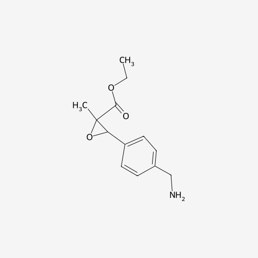 CCOC(=O)C1(C)OC1c1ccc(CN)cc1